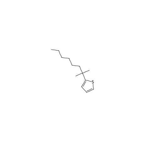 CCCCCCC(C)(C)c1cccs1